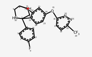 Fc1ccc(C23CCC(CN2)Nc2cc(Oc4ccc(C(F)(F)F)nn4)ccc23)cc1